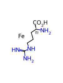 N=C(N)NCCC[C@H](N)C(=O)O.[Fe]